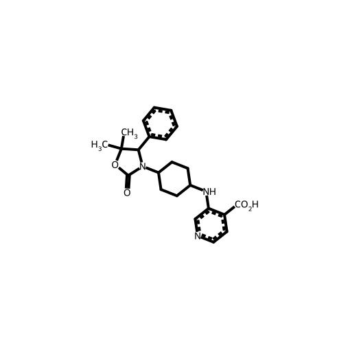 CC1(C)OC(=O)N(C2CCC(Nc3cnccc3C(=O)O)CC2)C1c1ccccc1